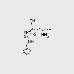 C#Cc1c(C[C@@H](N)CF)sc2c(NCc3cccs3)snc12